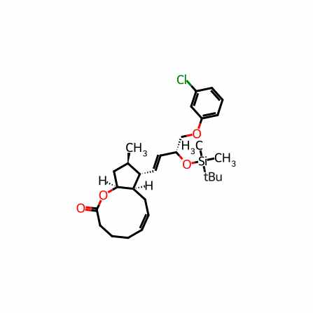 C[C@@H]1C[C@@H]2OC(=O)CCC/C=C\C[C@@H]2[C@H]1/C=C/[C@H](COc1cccc(Cl)c1)O[Si](C)(C)C(C)(C)C